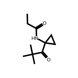 CCC(=O)NC1(C(=O)C(C)(C)C)CC1